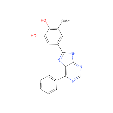 COc1cc(-c2nc3c(-c4ccccc4)ncnc3[nH]2)cc(O)c1O